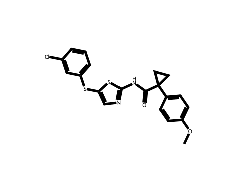 COc1ccc(C2(C(=O)Nc3ncc(Sc4cccc(Cl)c4)s3)CC2)cc1